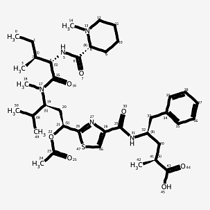 CC[C@H](C)[C@H](NC(=O)[C@H]1CCCCN1C)C(=O)N(C)[C@@H](C[C@H](OC(C)=O)c1nc(C(=O)N[C@@H](Cc2ccccc2)C[C@H](C)C(=O)O)cs1)C(C)C